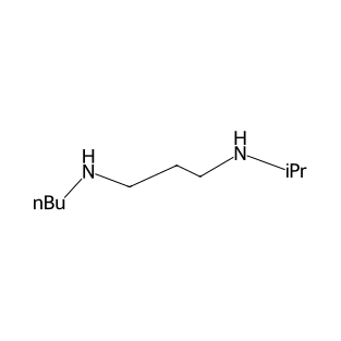 [CH2]CCCNCCCNC(C)C